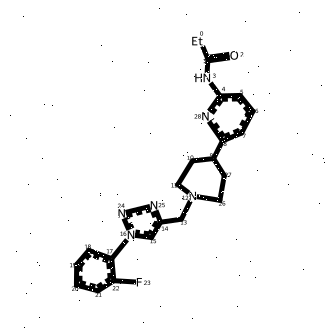 CCC(=O)Nc1cccc(C2CCN(Cc3cn(-c4ccccc4F)nn3)CC2)n1